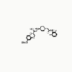 COc1ccc2c(c1)OCC(C(O)CNC1CCN(CC(=O)Nc3c(C)cccc3C)CC1)O2